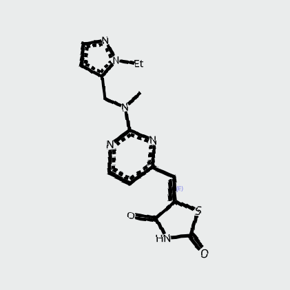 CCn1nccc1CN(C)c1nccc(/C=C2/SC(=O)NC2=O)n1